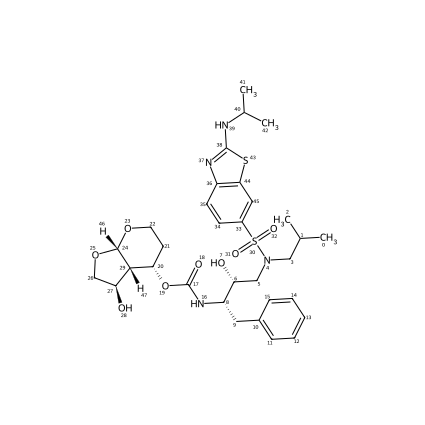 CC(C)CN(C[C@@H](O)[C@H](Cc1ccccc1)NC(=O)O[C@H]1CCO[C@H]2OC[C@H](O)[C@H]21)S(=O)(=O)c1ccc2nc(NC(C)C)sc2c1